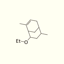 CCOC1CC(C)C2CC=C(C)C1C2